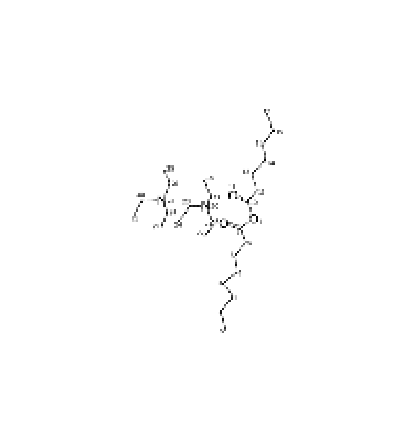 CCCCCCCC(=O)OC(=O)CCCCCC.CCN(CC)CC.CCN(CC)CC